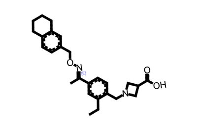 CCc1cc(/C(C)=N/OCc2ccc3c(c2)CCCC3)ccc1CN1CC(C(=O)O)C1